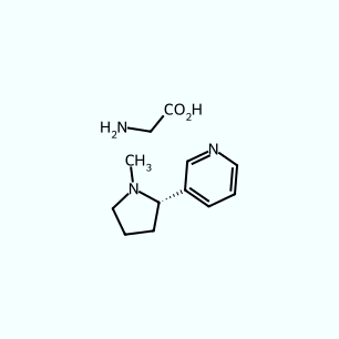 CN1CCC[C@H]1c1cccnc1.NCC(=O)O